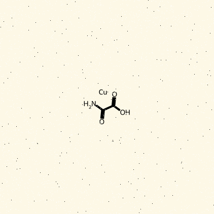 NC(=O)C(=O)O.[Cu]